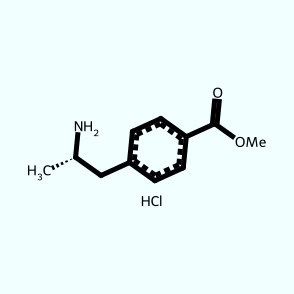 COC(=O)c1ccc(C[C@H](C)N)cc1.Cl